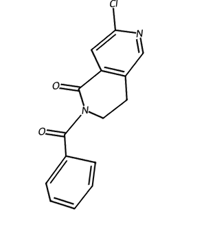 O=C(c1ccccc1)N1CCc2cnc(Cl)cc2C1=O